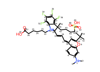 CN(C)c1ccc2c(c1)OC(C(C)(C)C)=C/C2=C\C=C\C1=[N+](CCCCCC(=O)O)c2c(F)c(F)c(F)c(F)c2C1(C)CCCCS(=O)(=O)O